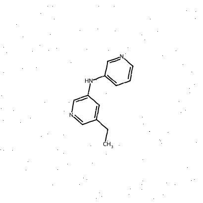 CCc1cncc(Nc2cccnc2)c1